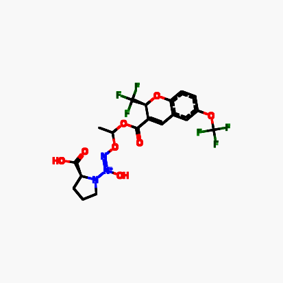 CC(O/N=[N+](\O)N1CCC[C@H]1C(=O)O)OC(=O)C1=Cc2cc(OC(F)(F)F)ccc2O[C@@H]1C(F)(F)F